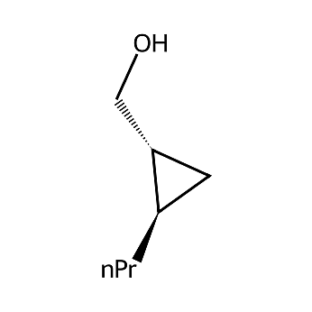 CCC[C@@H]1C[C@H]1CO